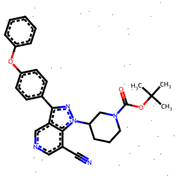 CC(C)(C)OC(=O)N1CCCC(n2nc(-c3ccc(Oc4ccccc4)cc3)c3cncc(C#N)c32)C1